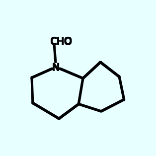 O=CN1CCCC2CCCCC21